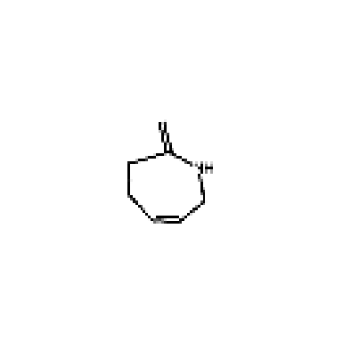 C=C1CCC=CCN1